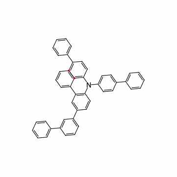 c1ccc(-c2ccc(N(c3ccc(-c4ccccc4)cc3)c3ccc(-c4cccc(-c5ccccc5)c4)cc3-c3ccccc3)cc2)cc1